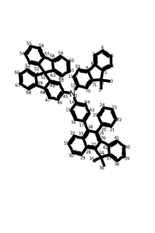 CC1(C)c2ccccc2-c2ccc(N(c3ccc(-c4c(-c5ccccc5)c5c(c6ccccc46)C(C)(C)c4ccccc4-5)cc3)c3ccc4c(c3)C3(c5ccccc5-c5ccccc53)c3ccccc3-4)cc21